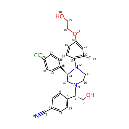 N#Cc1ccc([C@@H](CO)N2CCN(c3ccc(OCCO)cc3F)[C@H](c3ccc(Cl)cc3)C2)cc1